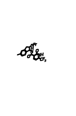 CCCC1Cc2cc(C)ccc2C1NC(=O)c1ccc(C(F)(F)F)[nH]c1=O